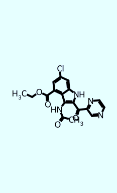 CCOC(=O)c1cc(Cl)cc2[nH]c(C(=O)c3cnccn3)c(NC(C)=O)c12